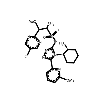 COc1cccc(-c2nnc(NS(=O)(=O)C(C)C(OC)c3ncc(Cl)cn3)n2[C@@H]2CCCC[C@@H]2C)n1